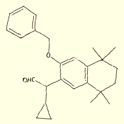 CC1(C)CCC(C)(C)c2cc(C(C=O)C3CC3)c(OCc3ccccc3)cc21